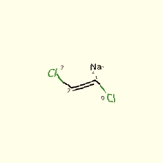 ClC=CCl.[Na]